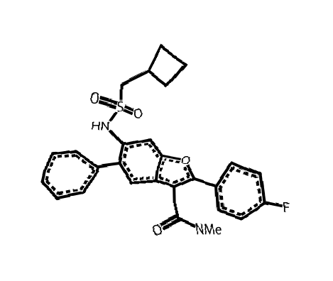 CNC(=O)c1c(-c2ccc(F)cc2)oc2cc(NS(=O)(=O)CC3CCC3)c(-c3ccccc3)cc12